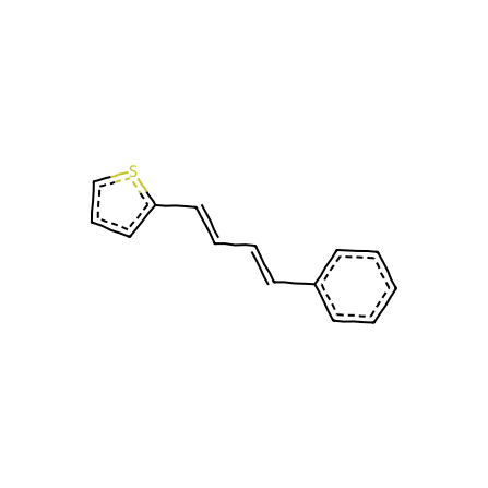 C(C=Cc1cccs1)=Cc1ccccc1